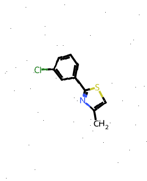 [CH2]c1csc(-c2cccc(Cl)c2)n1